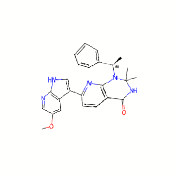 COc1cnc2[nH]cc(-c3ccc4c(n3)N([C@H](C)c3ccccc3)C(C)(C)NC4=O)c2c1